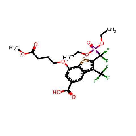 CCOP(=O)(OCC)C(F)(F)c1sc2c(OCCCC(=O)OC)cc(C(=O)O)cc2c1C(F)(F)F